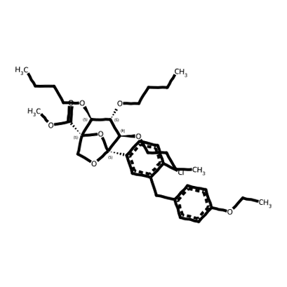 CCCCO[C@@H]1[C@@H](OCCCC)[C@@]2(c3ccc(Cl)c(Cc4ccc(OCC)cc4)c3)OC[C@](C(=O)OC)(O2)[C@H]1OCCCC